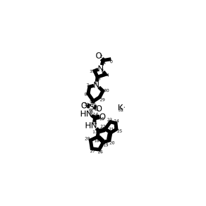 CC(=O)N1CC(N2CCC(S(=O)(=O)NC(=O)Nc3c4c(cc5c3CCC5)CCC4)CC2)C1.[K]